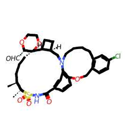 C[C@@H]1[C@@H](C)CCC[C@]2(OCCO[C@H]2C=O)[C@@H]2CC[C@H]2CN2CCCCc3cc(Cl)ccc3COc3ccc(cc32)C(=O)NS1(=O)=O